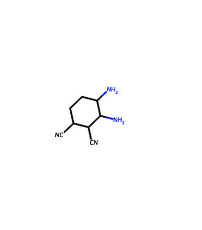 N#CC1CCC(N)C(N)C1C#N